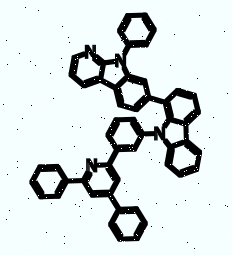 c1ccc(-c2cc(-c3ccccc3)nc(-c3cccc(-n4c5ccccc5c5cccc(-c6ccc7c8cccnc8n(-c8ccccc8)c7c6)c54)c3)c2)cc1